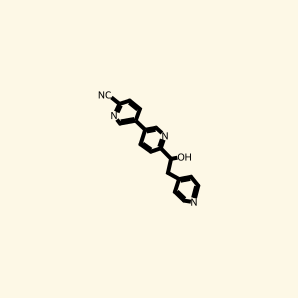 N#Cc1ccc(-c2ccc(C(O)Cc3ccncc3)nc2)cn1